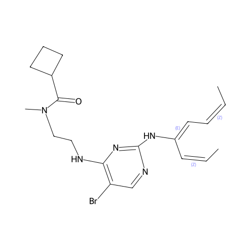 C\C=C/C=C(\C=C/C)Nc1ncc(Br)c(NCCN(C)C(=O)C2CCC2)n1